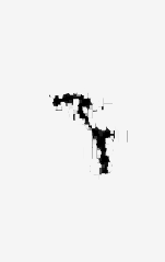 Cc1ncsc1-c1ccc(CNC(=O)[C@@H]2C[C@@H](O)CN2C(=O)C(NC(=O)CCOC[C@H]2CCN(c3ncc(C(=O)Nc4ccc(OC(F)(F)Cl)cc4)cc3-c3ccn[nH]3)C2)C(C)(C)C)cc1